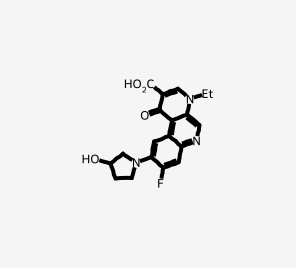 CCn1cc(C(=O)O)c(=O)c2c3cc(N4CCC(O)C4)c(F)cc3ncc21